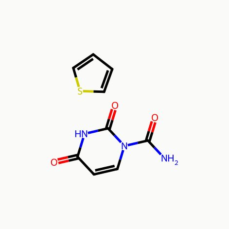 NC(=O)n1ccc(=O)[nH]c1=O.c1ccsc1